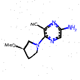 CO[C@@H]1CCN(c2ncc(N)nc2C#N)C1